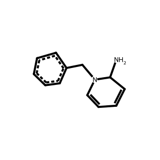 NC1C=CC=CN1Cc1ccccc1